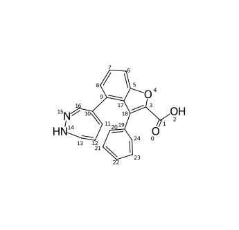 O=C(O)c1oc2cccc(C3=CC=CNN=C3)c2c1-c1ccccc1